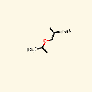 CCCCCC(C)COC(C)C(=O)O